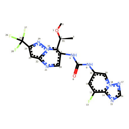 CO[C@@H](C)c1c(NC(=O)Nc2cc(F)c3ncnn3c2)cnc2cc(C(F)(F)F)nn12